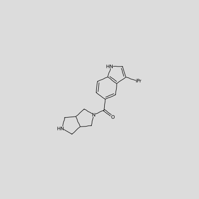 CC(C)c1c[nH]c2ccc(C(=O)N3CC4CNCC4C3)cc12